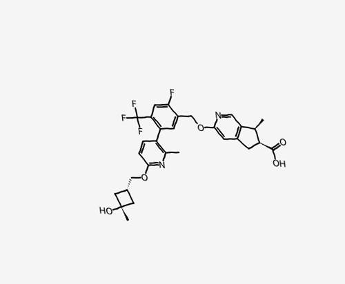 Cc1nc(OC[C@H]2C[C@@](C)(O)C2)ccc1-c1cc(COc2cc3c(cn2)[C@@H](C)[C@@H](C(=O)O)C3)c(F)cc1C(F)(F)F